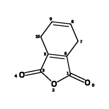 O=C1OC(=O)C2=C1CC=CC2